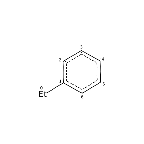 CCc1[c][c][c]cc1